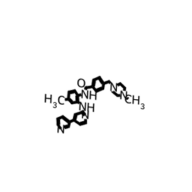 Cc1ccc(NC(=O)c2ccc(CN3CCN(C)CC3)cc2)c(Nc2cc(-c3cccnc3)ccn2)c1